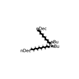 CCCCCCCCCCCCCCCCCCC=CN(CCCC)C(=CCCCCCCCCCCCCCCCCCC)CCCC